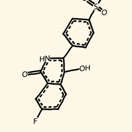 CS(=O)(=O)c1ccc(-c2[nH]c(=O)c3cc(F)ccc3c2O)cc1